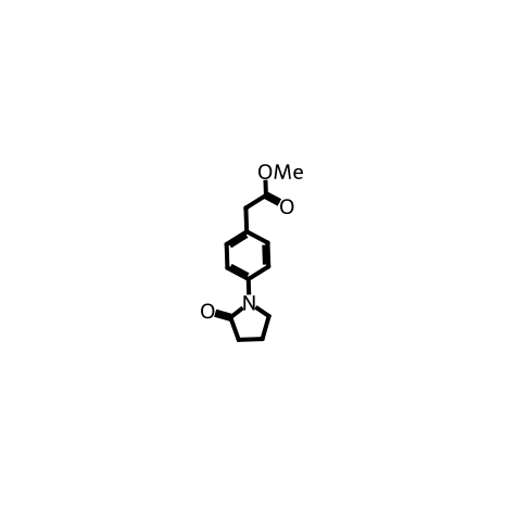 COC(=O)Cc1ccc(N2CCCC2=O)cc1